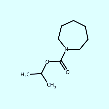 CC(C)OC(=O)N1CCCCCC1